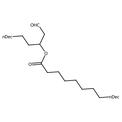 CCCCCCCCCCCCCCCCCC(=O)OC(CC=O)CCCCCCCCCCCC